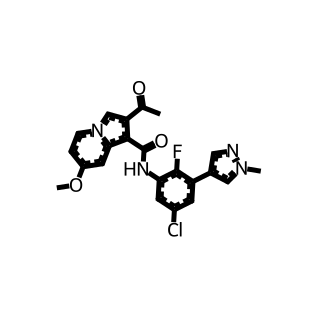 COc1ccn2cc(C(C)=O)c(C(=O)Nc3cc(Cl)cc(-c4cnn(C)c4)c3F)c2c1